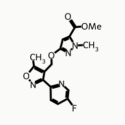 COC(=O)c1cc(OCc2c(-c3ccc(F)cn3)noc2C)nn1C